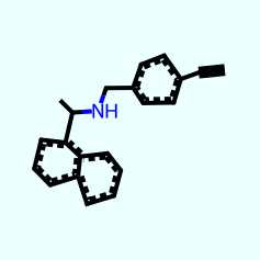 C#Cc1ccc(CNC(C)c2cccc3ccccc23)cc1